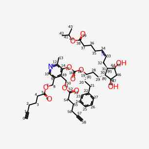 C#CCCCC(=O)OCc1cnc(C)c(OC(=O)O[C@@H](CCc2ccccc2)CC[C@@H]2[C@@H](C/C=C\CCCC(=O)OC(C)C)[C@@H](O)C[C@H]2O)c1COC(=O)CCCC#C